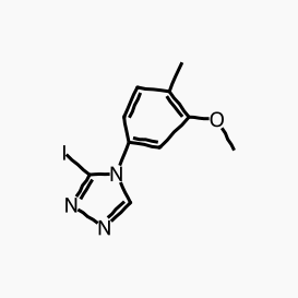 COc1cc(-n2cnnc2I)ccc1C